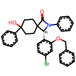 O=C1N(c2ccccc2)[C@H](c2ccc(Br)cc2OCc2ccccc2)C12CCC(O)(c1ccccc1)CC2